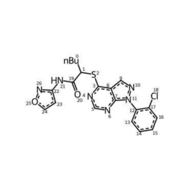 CCCCC(Sc1ncnc2c1cnn2-c1ccccc1Cl)C(=O)Nc1ccon1